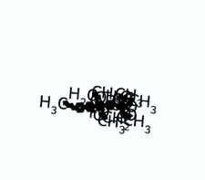 C=C(C)C(=O)OCC(COC(=O)C(C)=O)(COC(=O)C(C)=O)COc1ccc(-c2cc(OC(=O)C(=C)C)c(-c3ccc(C4CCC(CCCCC)CC4)cc3F)cc2OC(=O)C(=C)C)cc1